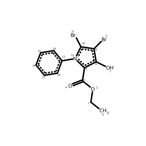 CCOC(=O)c1c(O)c(Br)c(Br)n1-c1ccccc1